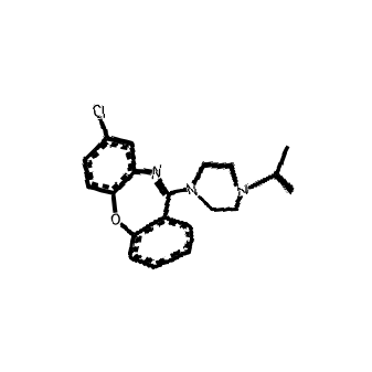 CC(C)N1CCN(C2=Nc3cc(Cl)ccc3Oc3ccccc32)CC1